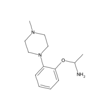 CC(N)Oc1ccccc1N1CCN(C)CC1